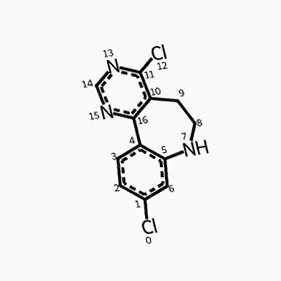 Clc1ccc2c(c1)NCCc1c(Cl)ncnc1-2